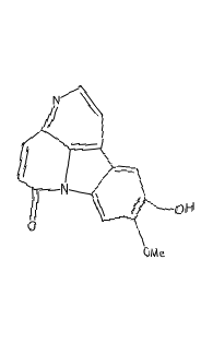 COc1cc2c(cc1O)c1ccnc3ccc(=O)n2c31